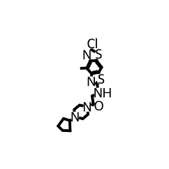 Cc1c2nc(Cl)sc2cc2sc(NCC(=O)N3CCN(C4CCCC4)CC3)nc12